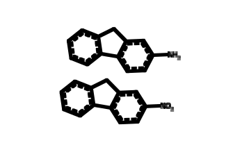 Nc1ccc2c(c1)Cc1ccccc1-2.O=[N+]([O-])c1ccc2c(c1)Cc1ccccc1-2